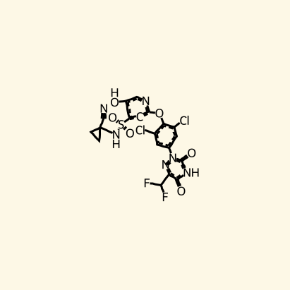 N#CC1(NS(=O)(=O)c2cc(Oc3c(Cl)cc(-n4nc(C(F)F)c(=O)[nH]c4=O)cc3Cl)ncc2O)CC1